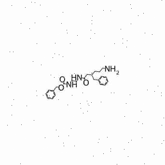 NCCC[C](CC(=O)NCCNC(=O)OCc1ccccc1)Cc1ccccc1